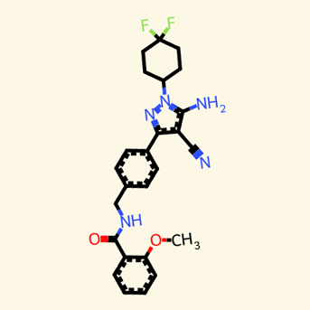 COc1ccccc1C(=O)NCc1ccc(-c2nn(C3CCC(F)(F)CC3)c(N)c2C#N)cc1